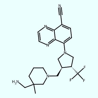 CC1(CN)CCCN(C[C@H]2CN(c3ccc(C#N)c4nccnc34)C[C@@H]2C(F)(F)F)C1